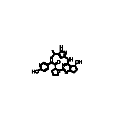 CC(C)c1cc(Nc2nc(N3CCC[C@@H]3C(=O)Nc3ccc(O)nc3)nc3c2[C@H](O)CC3)n[nH]1